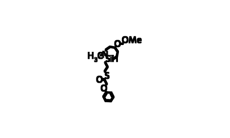 COCOC1CCC[SiH](CCCSC(=O)COc2ccccc2)N(C)CC1